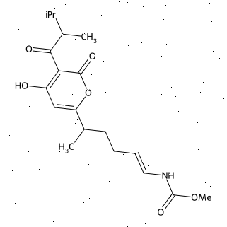 COC(=O)N/C=C/CCC(C)c1cc(O)c(C(=O)C(C)C(C)C)c(=O)o1